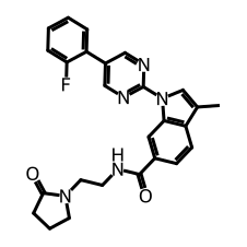 Cc1cn(-c2ncc(-c3ccccc3F)cn2)c2cc(C(=O)NCCN3CCCC3=O)ccc12